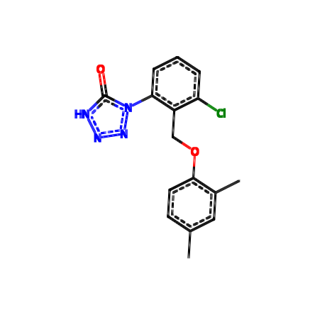 Cc1ccc(OCc2c(Cl)cccc2-n2nn[nH]c2=O)c(C)c1